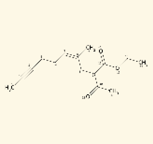 CC#CCCC=C(C)CC(C(C)=O)C(=O)OCC